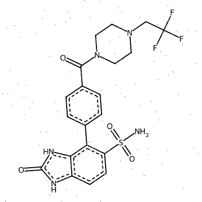 NS(=O)(=O)c1ccc2[nH]c(=O)[nH]c2c1-c1ccc(C(=O)N2CCN(CC(F)(F)F)CC2)cc1